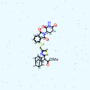 COC(=O)C(c1nc(CSc2cccc3c2C(=O)N(C2CCC(=O)NC2=O)C3=O)cs1)C12CC3CC(CC(C3)C1)C2